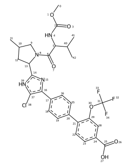 COC(=O)NC(C(=O)N1CC(C)CC1c1nc(-c2ccc(-c3ccc(C(=O)O)cc3OC(F)(F)F)cc2)c(Cl)[nH]1)C(C)C